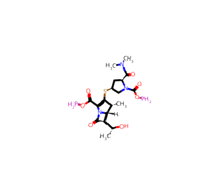 C[C@@H](O)[C@H]1C(=O)N2C(C(=O)OP)=C(S[C@H]3C[C@@H](C(=O)N(C)C)N(C(=O)OP)C3)[C@H](C)[C@H]12